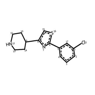 Clc1cccc(-c2nc(C3CCNCC3)cs2)c1